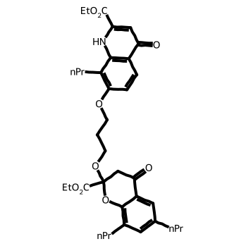 CCCc1cc(CCC)c2c(c1)C(=O)CC(OCCCOc1ccc3c(=O)cc(C(=O)OCC)[nH]c3c1CCC)(C(=O)OCC)O2